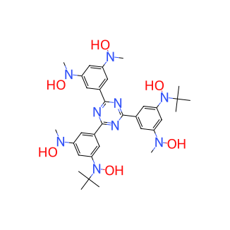 CN(O)c1cc(-c2nc(-c3cc(N(C)O)cc(N(O)C(C)(C)C)c3)nc(-c3cc(N(C)O)cc(N(O)C(C)(C)C)c3)n2)cc(N(C)O)c1